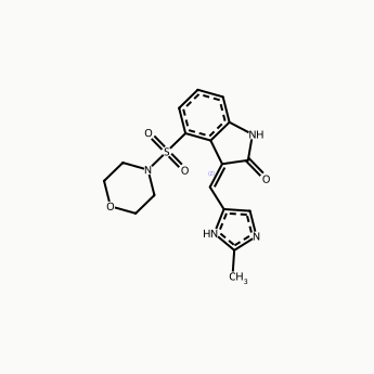 Cc1ncc(/C=C2\C(=O)Nc3cccc(S(=O)(=O)N4CCOCC4)c32)[nH]1